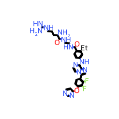 CCc1cc(Nc2nccn3c(-c4ccc(Oc5ccncn5)c(F)c4F)cnc23)ccc1C(=O)NCCNC(=O)C(N)CCCNC(=N)N